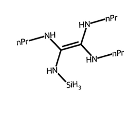 CCCNC(N[SiH3])=C(NCCC)NCCC